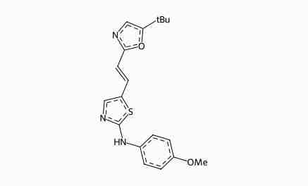 COc1ccc(Nc2ncc(/C=C/c3ncc(C(C)(C)C)o3)s2)cc1